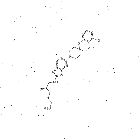 COCCOC(=O)CNc1nc2cnc(N3CCC4(CCc5c(Cl)cccc5O4)CC3)nc2s1